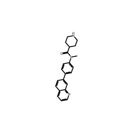 CN(C(=O)C1CCNCC1)c1ccc(-c2ccc3cccnc3c2)cc1